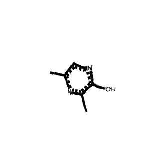 Cc1cnc(O)c(C)n1